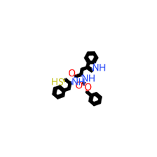 O=C(NC(Cc1c[nH]c2ccccc12)C(=O)NC(CS)Cc1ccccc1)OCc1ccccc1